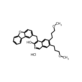 COCCCc1cc2cnc(O)c(Cc3ccc4oc5ccccc5c4c3)c2cc1CCCOC.Cl